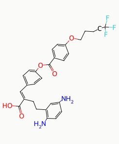 Nc1ccc(N)c(CC/C(=C\c2ccc(OC(=O)c3ccc(OCCCCC(F)(F)F)cc3)cc2)C(=O)O)c1